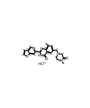 Cc1cc(CN2CCN(C)C(=O)C2)cc2c(=O)[nH]c(-c3cc4sccc4cn3)nc12.Cl